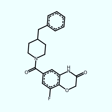 O=C1COc2c(F)cc(C(=O)N3CCC(Cc4ccccc4)CC3)cc2N1